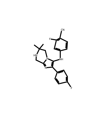 CC1(C)Cn2c(nc(-c3ccc(F)cc3)c2Nc2ccc(C#N)c(F)c2)CN1